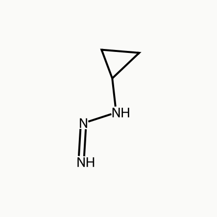 N=NNC1CC1